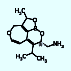 CC(C)C1=C2C=COCC3=C2B(OC3C)O[C@@H]1CN